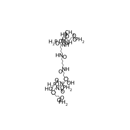 CBOC(=O)C(CCC(=O)OP)NC(=O)NC(CCCCNC(=O)CCCCCNC(=O)CCc1ccc(O)c(CN(CCN(CC(=O)OP)Cc2cc(CCC(=O)OP)ccc2O)CC(=O)OP)c1)C(=O)OP